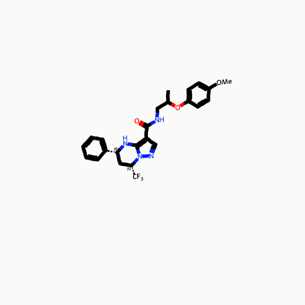 COc1ccc(OC(C)CNC(=O)c2cnn3c2N[C@@H](c2ccccc2)C[C@H]3C(F)(F)F)cc1